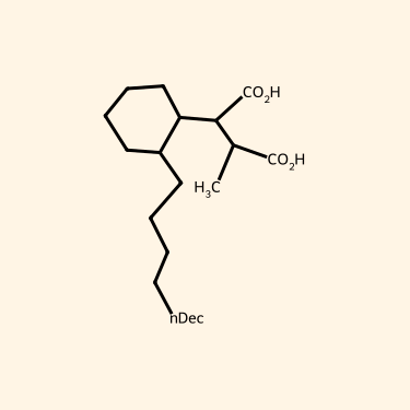 CCCCCCCCCCCCCCC1CCCCC1C(C(=O)O)C(C)C(=O)O